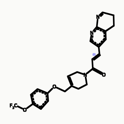 O=C(/C=C/c1cnc2c(c1)CCC=N2)N1CC=C(COc2ccc(OC(F)(F)F)cc2)CC1